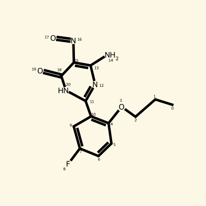 CCCOc1ccc(F)cc1-c1nc(N)c(N=O)c(=O)[nH]1